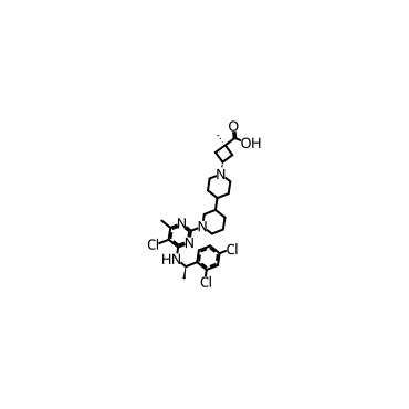 Cc1nc(N2CCCC(C3CCN([C@H]4C[C@](C)(C(=O)O)C4)CC3)C2)nc(N[C@H](C)c2ccc(Cl)cc2Cl)c1Cl